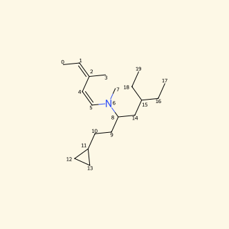 C/C=C(C)\C=C/N(C)C(CCC1CC1)CC(CC)CC